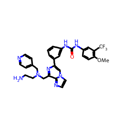 COc1ccc(NC(=O)Nc2cccc(-c3cn4ccnc4c(CN(CCN)Cc4ccncc4)n3)c2)cc1C(F)(F)F